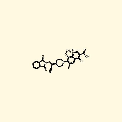 COc1c(N2CCC(=C(C#N)CN3C(=O)c4ccccc4C3=O)CC2)c(F)cc2c(=O)c(C(=O)O)c[nH]c12